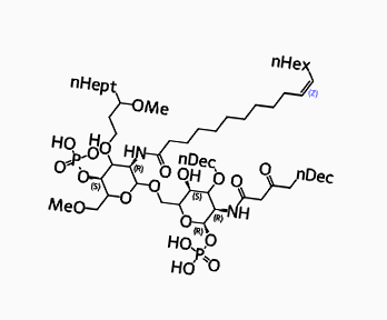 CCCCCC/C=C\CCCCCCCCCC(=O)N[C@H]1C(OCC2O[C@H](OP(=O)(O)O)[C@H](NC(=O)CC(=O)CCCCCCCCCCC)C(OCCCCCCCCCC)[C@@H]2O)OC(COC)[C@@H](OP(=O)(O)O)C1OCCC(CCCCCCC)OC